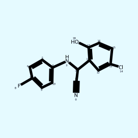 N#CC(Nc1ccc(F)cc1)c1cc(Cl)ccc1O